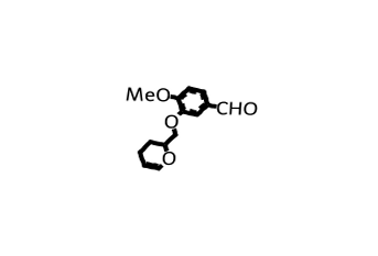 COc1ccc(C=O)cc1OCC1CCC=CO1